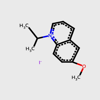 COc1ccc2c(ccc[n+]2C(C)C)c1.[I-]